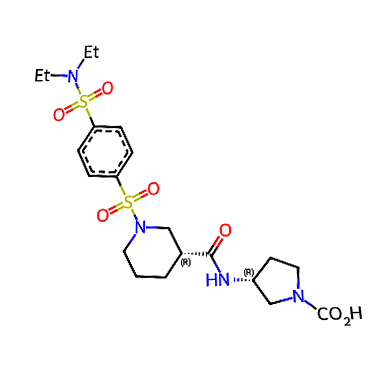 CCN(CC)S(=O)(=O)c1ccc(S(=O)(=O)N2CCC[C@@H](C(=O)N[C@@H]3CCN(C(=O)O)C3)C2)cc1